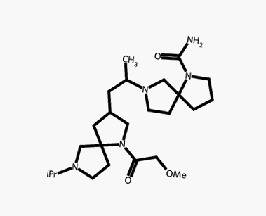 COCC(=O)N1CC(CC(C)N2CCC3(CCCN3C(N)=O)C2)CC12CCN(C(C)C)C2